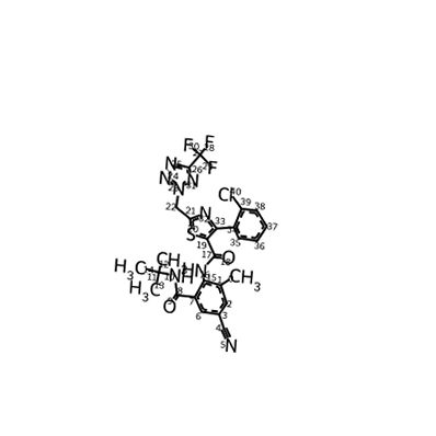 Cc1cc(C#N)cc(C(=O)NC(C)(C)C)c1NC(=O)c1sc(Cn2nnc(C(F)(F)F)n2)nc1-c1ccccc1Cl